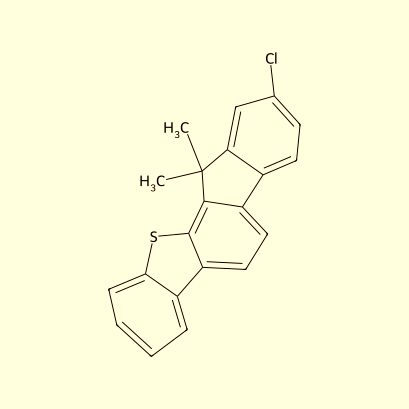 CC1(C)c2cc(Cl)ccc2-c2ccc3c(sc4ccccc43)c21